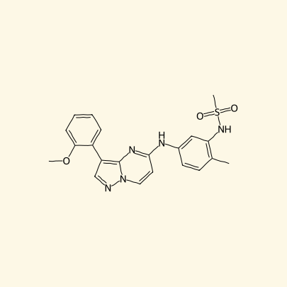 COc1ccccc1-c1cnn2ccc(Nc3ccc(C)c(NS(C)(=O)=O)c3)nc12